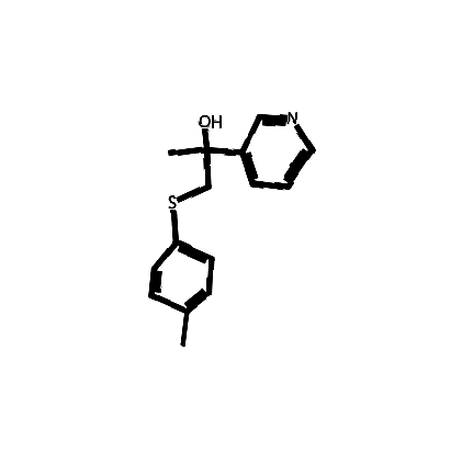 Cc1ccc(SCC(C)(O)c2cccnc2)cc1